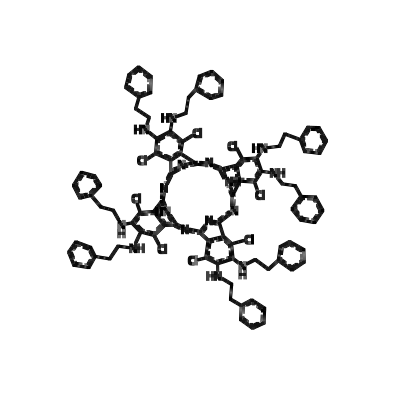 Clc1c(NCCc2ccccc2)c(NCCc2ccccc2)c(Cl)c2c1-c1nc-2nc2[nH]c(nc3nc(nc4[nH]c(n1)c1c(Cl)c(NCCc5ccccc5)c(NCCc5ccccc5)c(Cl)c41)-c1c(Cl)c(NCCc4ccccc4)c(NCCc4ccccc4)c(Cl)c1-3)c1c(Cl)c(NCCc3ccccc3)c(NCCc3ccccc3)c(Cl)c21